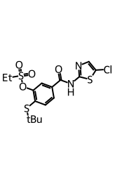 CCS(=O)(=O)Oc1cc(C(=O)Nc2ncc(Cl)s2)ccc1SC(C)(C)C